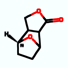 O=C1OCC2C1C1CC[C@@H]2O1